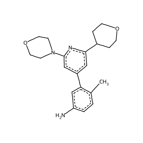 Cc1ccc(N)cc1-c1cc(C2CCOCC2)nc(N2CCOCC2)c1